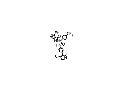 CCc1nocc1C(=O)NC(C(=O)Nc1ccc(-c2c(Cl)ccnc2C)cc1)C1CCC(C(F)(F)F)CC1